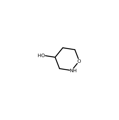 OC1CCONC1